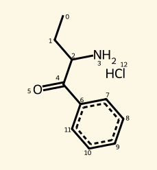 CCC(N)C(=O)c1ccccc1.Cl